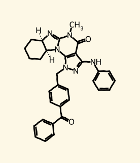 CN1C(=O)c2c(Nc3ccccc3)nn(Cc3ccc(C(=O)c4ccccc4)cc3)c2N2C1=N[C@@H]1CCCC[C@@H]12